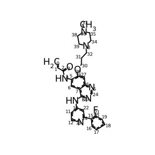 C=CC(=O)Nc1cc2c(Nc3ccnc(-c4ccccc4F)c3)ncnc2cc1OCCCN1CCN(C)CC1